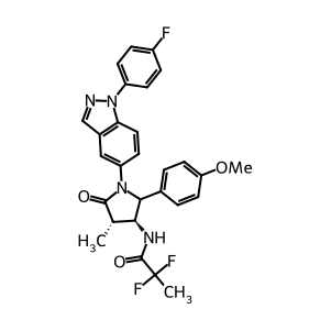 COc1ccc(C2[C@@H](NC(=O)C(C)(F)F)[C@H](C)C(=O)N2c2ccc3c(cnn3-c3ccc(F)cc3)c2)cc1